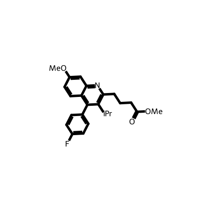 COC(=O)CCCc1nc2cc(OC)ccc2c(-c2ccc(F)cc2)c1C(C)C